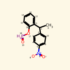 CC(c1ccc([N+](=O)[O-])cc1)c1ccccc1O[PH2]=O